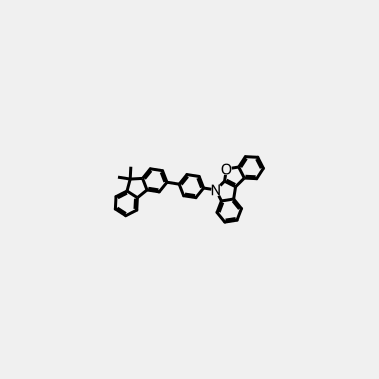 CC1(C)c2ccccc2-c2cc(-c3ccc(-n4c5ccccc5c5c6ccccc6oc54)cc3)ccc21